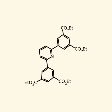 CCOC(=O)c1cc(C(=O)OCC)cc(-c2cccc(-c3cc(C(=O)OCC)cc(C(=O)OCC)c3)n2)c1